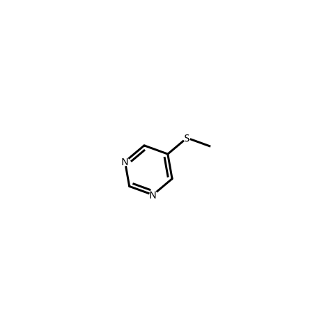 CSc1cncnc1